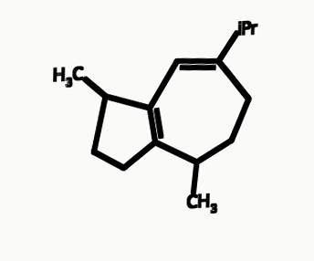 CC(C)C1=CC2=C(CCC2C)C(C)CC1